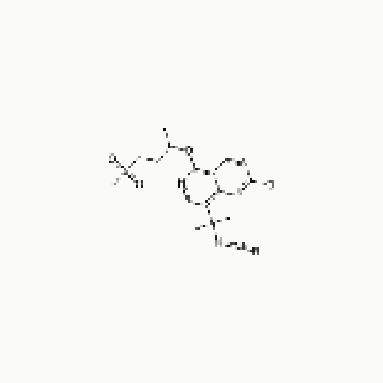 CC(CCS(C)(=O)=O)Oc1ncc(C(C)(C)N=[N+]=[N-])c2cc(Cl)ncc12